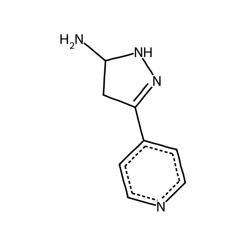 NC1CC(c2ccncc2)=NN1